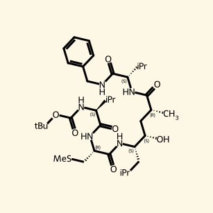 CSC[C@H](NC(=O)[C@@H](NC(=O)OC(C)(C)C)C(C)C)C(=O)N[C@@H](CC(C)C)[C@@H](O)C[C@@H](C)C(=O)N[C@H](C(=O)NCc1ccccc1)C(C)C